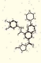 CC(Nc1ccc(F)c(F)c1)c1cc(C(=O)N2CCN(C)C2)cc2ncc(N3CCOCC3)nc12